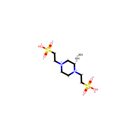 O=S(=O)(O)CCN1CCN(CCS(=O)(=O)O)CC1.[KH].[KH]